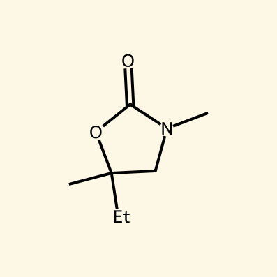 CCC1(C)CN(C)C(=O)O1